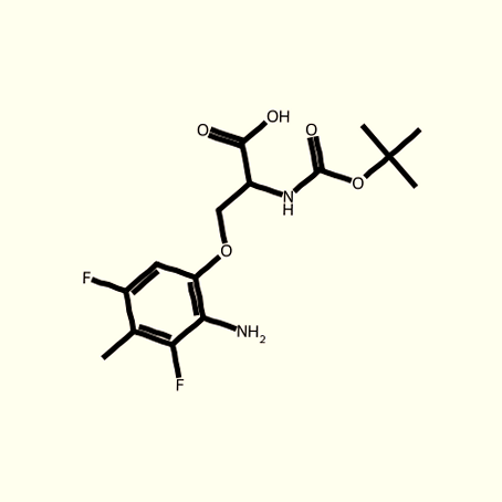 Cc1c(F)cc(OCC(NC(=O)OC(C)(C)C)C(=O)O)c(N)c1F